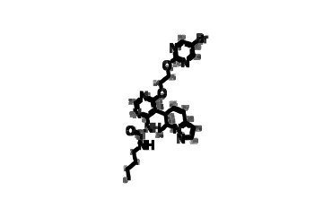 CCCCN[Si](=O)Nc1ncnc(OCCOc2ncc(Br)cn2)c1C1C=Cc2ccnn2C1C